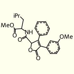 COC(=O)C(CC(C)C)NC(=O)C1OC(=O)C(c2cccc(OC)c2)=C1c1ccccc1